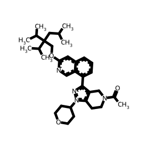 CC(=O)N1CCc2c(c(-c3cccc4cc(OCC(CC(C)C)(C(C)C)C(C)C)ncc34)nn2C2CCOCC2)C1